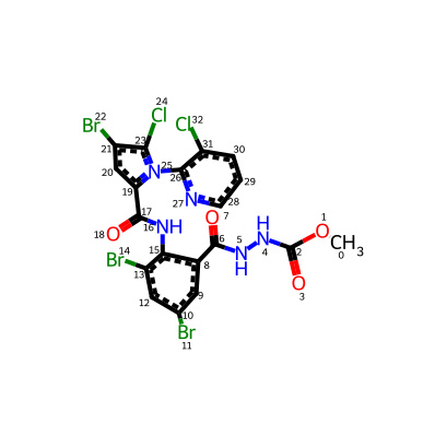 COC(=O)NNC(=O)c1cc(Br)cc(Br)c1NC(=O)c1cc(Br)c(Cl)n1-c1ncccc1Cl